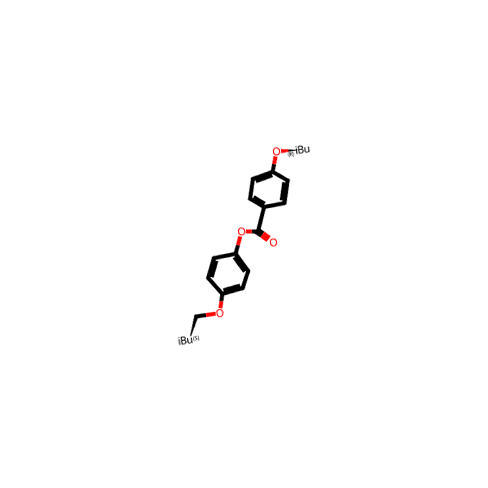 CC[C@H](C)COc1ccc(OC(=O)c2ccc(O[C@H](C)CC)cc2)cc1